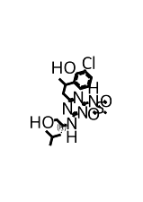 CC(C)C[C@H](CO)Nc1nc(CC(C)c2cccc(Cl)c2O)nc(NS(C)(=O)=O)n1